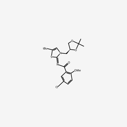 COc1ccc(Cl)cc1C(=O)N=c1sc(C(C)(C)C)cn1C[C@H]1COC(C)(C)O1